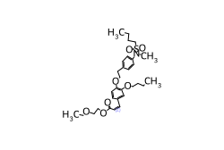 CCCCOc1cc(/C=C\C(=O)OCCOCC)ccc1OCCc1ccc(N(C)S(=O)(=O)CCCC)cc1